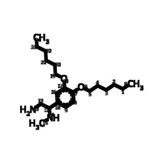 CCCCCCOc1ccc(C(CN)NC)cc1OCCCCCC